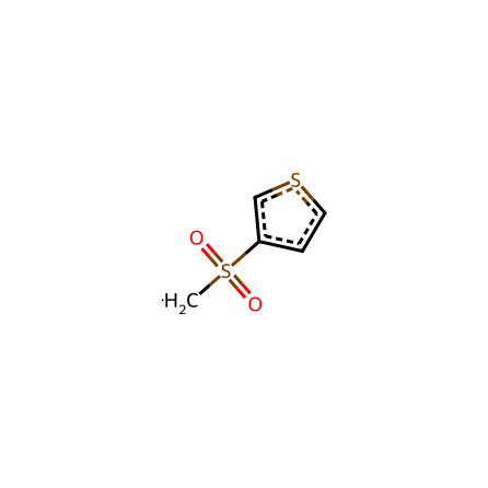 [CH2]S(=O)(=O)c1ccsc1